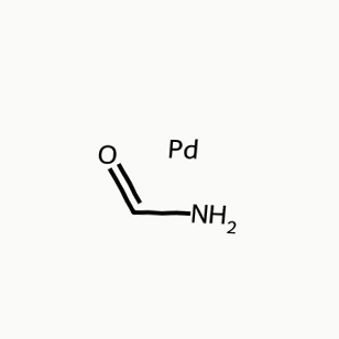 NC=O.[Pd]